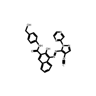 [C-]#[N+]c1cnn(-c2cnccn2)c1/N=N/c1c(O)c(C(=O)Nc2ccc(CO)cc2)cc2ccccc12